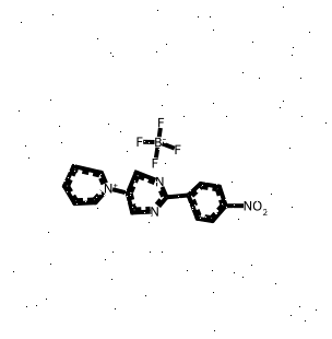 F[B-](F)(F)F.O=[N+]([O-])c1ccc(-c2ncc(-[n+]3ccccc3)cn2)cc1